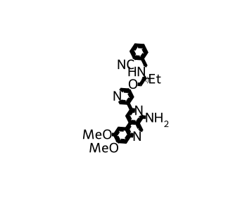 CC[C@H](COc1cncc(-c2cc3c(cnc4cc(OC)c(OC)cc43)c(N)n2)c1)NCc1ccccc1C#N